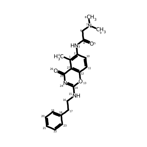 Cc1c(NC(=O)CN(C)C)ccc2oc(NCCc3ccccc3)nc(=O)c12